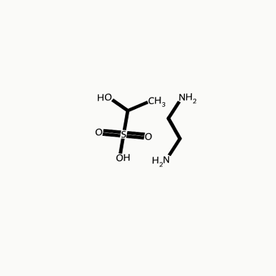 CC(O)S(=O)(=O)O.NCCN